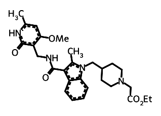 CCOC(=O)CN1CCC(Cn2c(C)c(C(=O)NCc3c(OC)cc(C)[nH]c3=O)c3ccccc32)CC1